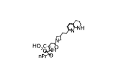 CCCS(=O)(=O)N[C@@H](CC(=O)N1CC(CCc2ccc3c(n2)NCCC3)C1)C(=O)O